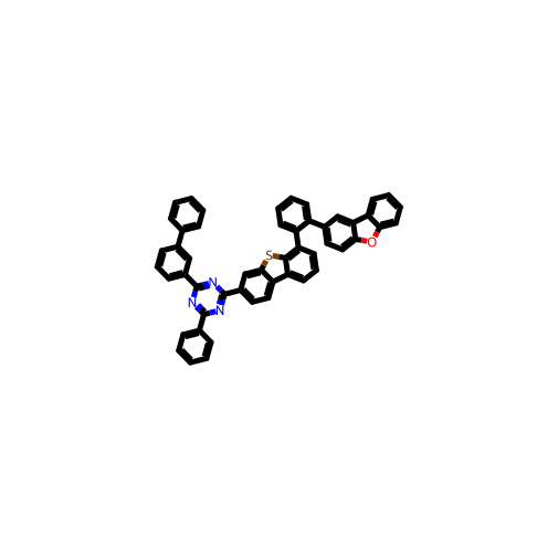 c1ccc(-c2cccc(-c3nc(-c4ccccc4)nc(-c4ccc5c(c4)sc4c(-c6ccccc6-c6ccc7oc8ccccc8c7c6)cccc45)n3)c2)cc1